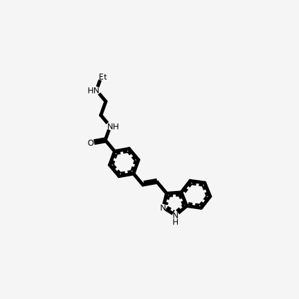 CCNCCNC(=O)c1ccc(/C=C/c2n[nH]c3ccccc23)cc1